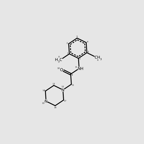 Cc1cccc(C)c1NC(=O)CN1CC[N]CC1